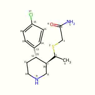 CC(SCC(N)=O)[C@H]1CNCC[C@@H]1c1ccc(Cl)cc1